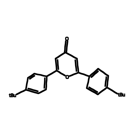 CC(C)(C)c1ccc(-c2cc(=O)cc(-c3ccc(C(C)(C)C)cc3)o2)cc1